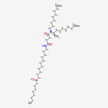 [2H]CCCCCCCC(=O)CCCCCCCCCCCNC(=O)CCC(=O)N(CCCCCCCCCCCCCCCCCC)C(C)CCCCCCCCCCCCCCCC